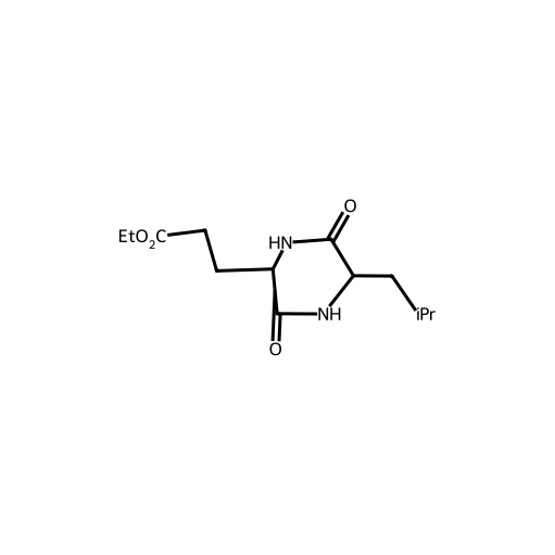 CCOC(=O)CCC1NC(=O)C(CC(C)C)NC1=O